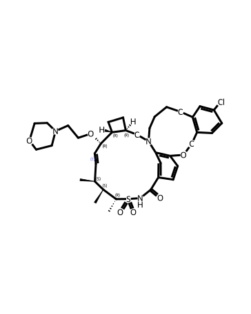 C[C@@H]1[C@@H](C)S(=O)(=O)NC(=O)c2ccc3c(c2)N(CCCCc2cc(Cl)ccc2CO3)C[C@@H]2CC[C@H]2[C@@H](OCCN2CCOCC2)/C=C/[C@@H]1C